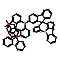 CC1(C)c2ccccc2-c2c(N(c3ccc4c(c3)C3(c5ccccc5-4)c4ccccc4-n4c5ccccc5c5cccc3c54)c3cccc4c3-c3ccccc3C4(c3ccccc3)c3ccccc3)cccc21